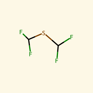 FC(F)SC(F)F